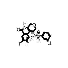 CN([C@H]1COCc2[nH]c(=O)c3cc(F)c(F)cc3c21)S(=O)(=O)c1cccc(Cl)c1